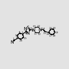 N#Cc1ccc(-c2nsc(N3CCN(C=Cc4ccccc4)CC3)n2)cc1